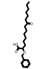 CCCCCCC(=O)CCCCCCC(OCc1ccccc1)C(=O)O